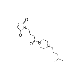 CC(C)CCCN1CCN(C(=O)CCCN2C(=O)C=CC2=O)CC1